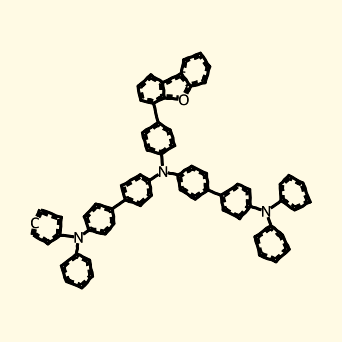 c1ccc(N(c2ccccc2)c2ccc(-c3ccc(N(c4ccc(-c5ccc(N(c6ccccc6)c6ccccc6)cc5)cc4)c4ccc(-c5cccc6c5oc5ccccc56)cc4)cc3)cc2)cc1